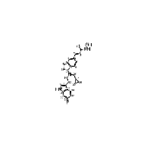 O=C(C=Cc1ccc2c(c1)CCC2N(CCc1c[nH]c2cc(F)ccc12)CC1CC1)NO